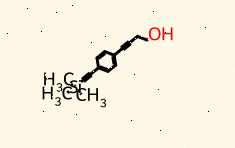 C[Si](C)(C)C#Cc1ccc(C#CCCO)cc1